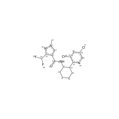 Cn1cc(C(=O)NC2CCCCC2c2ncc(Cl)cc2Cl)c(C(F)F)n1